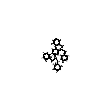 c1ccc(CN(Cc2ccccc2)c2cccc(N(Cc3ccccc3)Cc3ccccc3)c2)cc1